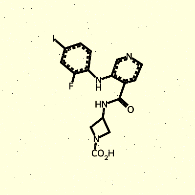 O=C(NC1CN(C(=O)O)C1)c1ccncc1Nc1ccc(I)cc1F